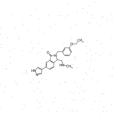 CCOc1cccc(CN2C(=O)c3cc(-c4cn[nH]c4)ccc3C2CNC)c1